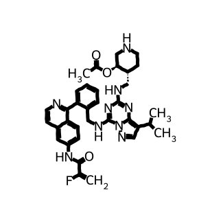 C=C(F)C(=O)Nc1ccc2c(-c3ccccc3CNc3nc(NC[C@H]4CCNC[C@@H]4OC(C)=O)nc4c(C(C)C)cnn34)nccc2c1